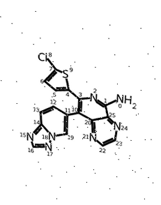 Nc1nc(-c2ccc(Cl)s2)c(-c2ccc3ncnn3c2)c2nccnc12